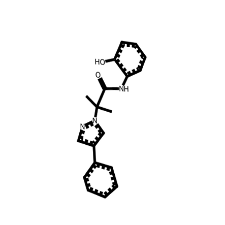 CC(C)(C(=O)Nc1ccccc1O)n1cc(-c2ccccc2)cn1